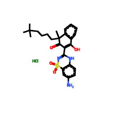 CC(C)(C)CCCCC1(C)C(=O)C(C2=NS(=O)(=O)c3cc(N)ccc3N2)=C(O)c2ccccc21.Cl